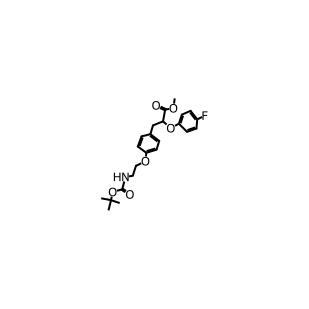 COC(=O)C(Cc1ccc(OCCNC(=O)OC(C)(C)C)cc1)Oc1ccc(F)cc1